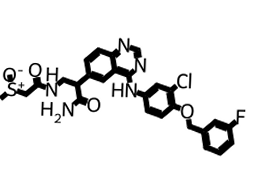 C[S+]([O-])CC(=O)NCC(C(N)=O)c1ccc2ncnc(Nc3ccc(OCc4cccc(F)c4)c(Cl)c3)c2c1